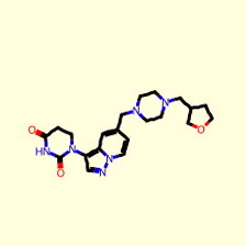 O=C1CCN(c2cnn3ccc(CN4CCN(CC5CCOC5)CC4)cc23)C(=O)N1